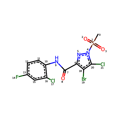 CS(=O)(=O)n1nc(C(=O)Nc2ccc(F)cc2Cl)c(Br)c1Cl